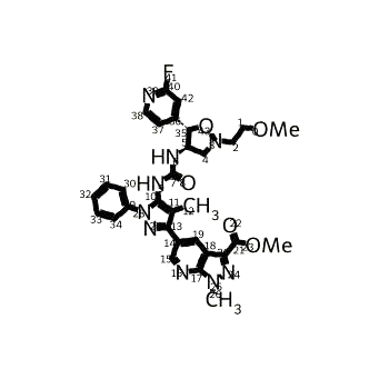 COCCN1C[C@@H](NC(=O)Nc2c(C)c(-c3cnc4c(c3)c(C(=O)OC)nn4C)nn2-c2ccccc2)[C@H](c2ccnc(F)c2)O1